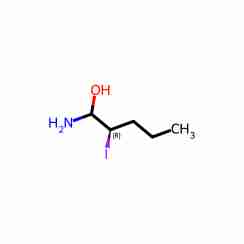 CCC[C@@H](I)C(N)O